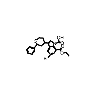 CCOC(=O)c1cc(Br)cc2c(C3CCSC(c4ccccc4)C3)cn(C(=O)O)c12